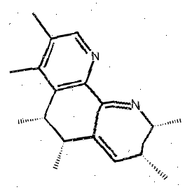 Cc1cnc2c(c1C)[C@@H](C)[C@@H](C)C1=C[C@@H](C)[C@@H](C)N=C12